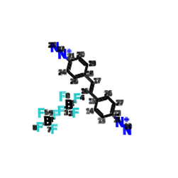 F[B-](F)(F)F.F[B-](F)(F)F.N#[N+]c1ccc(C=Cc2ccc([N+]#N)cc2)cc1